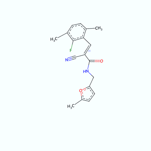 Cc1ccc(CNC(=O)/C(C#N)=C/c2c(C)ccc(C)c2F)o1